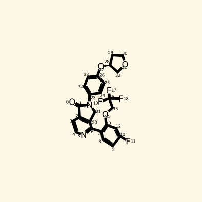 O=C1c2ccnc(-c3ccc(F)cc3OCC(F)(F)F)c2CN1c1ccc(O[C@H]2CCOC2)cc1